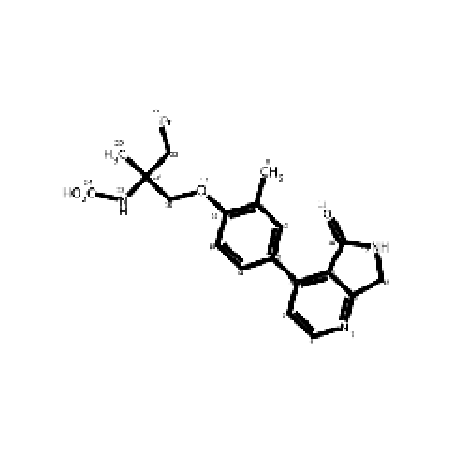 Cc1cc(-c2ccnc3c2C(=O)NC3)ccc1OCC(C)(CC(C)C)NC(=O)O